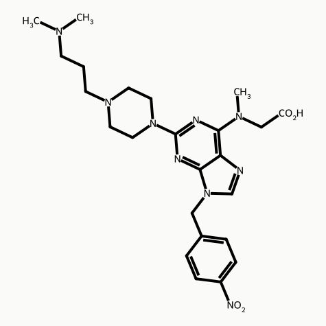 CN(C)CCCN1CCN(c2nc(N(C)CC(=O)O)c3ncn(Cc4ccc([N+](=O)[O-])cc4)c3n2)CC1